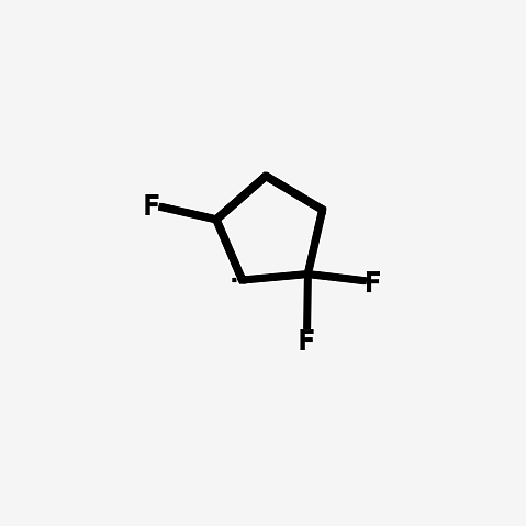 FC1[CH]C(F)(F)CC1